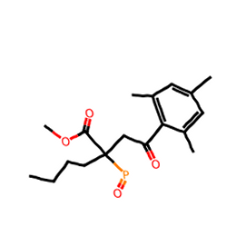 CCCCC(CC(=O)c1c(C)cc(C)cc1C)(P=O)C(=O)OC